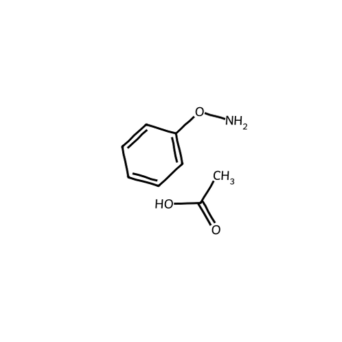 CC(=O)O.NOc1ccccc1